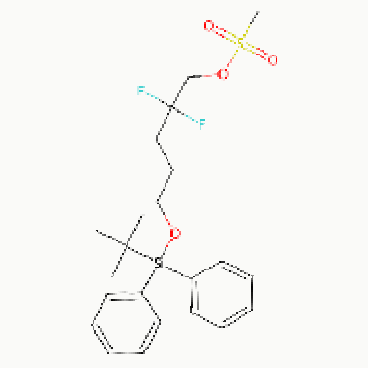 CC(C)(C)[Si](OCCCC(F)(F)COS(C)(=O)=O)(c1ccccc1)c1ccccc1